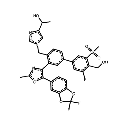 Cc1nc(-c2cc(-c3cc(F)c(CO)c(S(C)(=O)=O)c3)ccc2Cn2cnc(C(C)O)c2)c(-c2ccc3c(c2)OC(F)(F)O3)o1